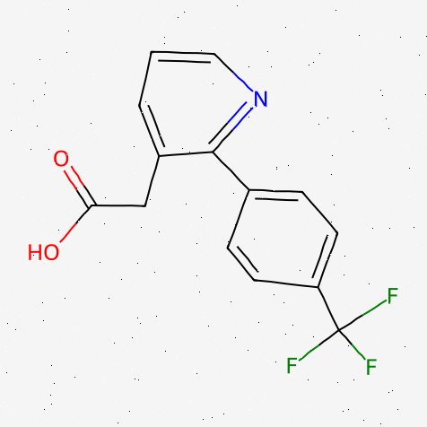 O=C(O)Cc1cccnc1-c1ccc(C(F)(F)F)cc1